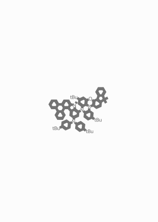 Cn1c2ccc3c4ccccc4c4ccccc4c3c2c2cc(N(c3ccc(C(C)(C)C)cc3)c3ccc(C(C)(C)C)cc3)cc(N3c4ccc(C(C)(C)C)cc4B4c5ccc6c(c5Oc5cc(C(C)(C)C)cc3c54)-c3ccccc3C6(C)C)c21